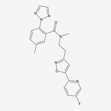 Cc1ccc(-n2nccn2)c(C(=O)N(C)CCc2cc(-c3ccc(F)cn3)on2)c1